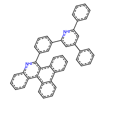 c1ccc(-c2cc(-c3ccccc3)nc(-c3cccc(-c4nc5ccccc5c5c6ccccc6c6ccccc6c45)c3)c2)cc1